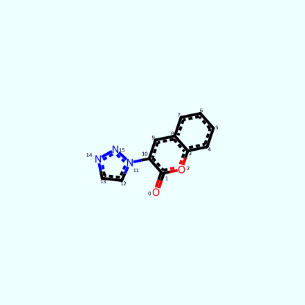 O=c1oc2ccccc2cc1-n1ccnn1